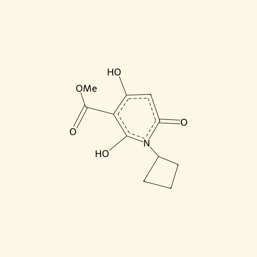 COC(=O)c1c(O)cc(=O)n(C2CCC2)c1O